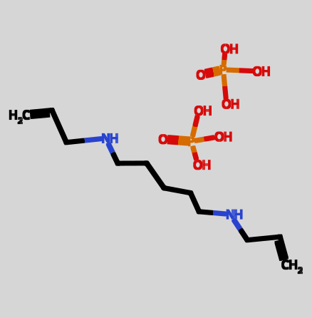 C=CCNCCCCCNCC=C.O=P(O)(O)O.O=P(O)(O)O